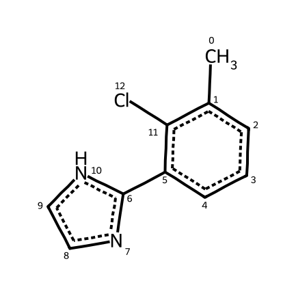 Cc1cccc(-c2ncc[nH]2)c1Cl